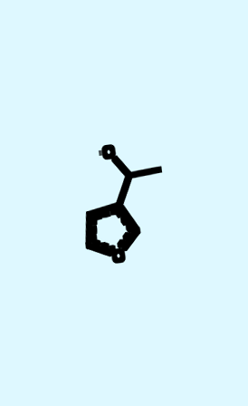 CC([O])c1ccoc1